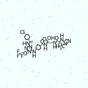 Cn1cncc1NC(=O)C(=O)NCC[C@H](NC(=O)c1ccc(Nc2nc(NC3(c4ccc(Cl)cc4)CC3)nc(OCC(F)(F)F)n2)cc1)C(=O)O